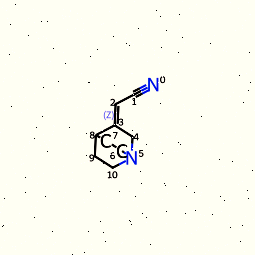 N#C/C=C1\CN2CCC1CC2